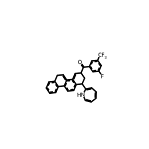 O=C(c1cc(F)cc(C(F)(F)F)c1)C1C=c2c(ccc3c2=CCc2ccccc2-3)C(C2=CC=CC=CN2)C1